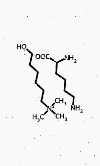 C[N+](C)(C)CCCCCCO.NCCCC[C@H](N)C(=O)[O-]